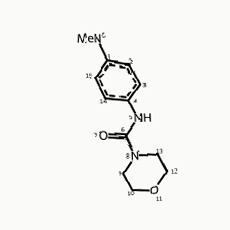 CNc1ccc(NC(=O)N2CCOCC2)cc1